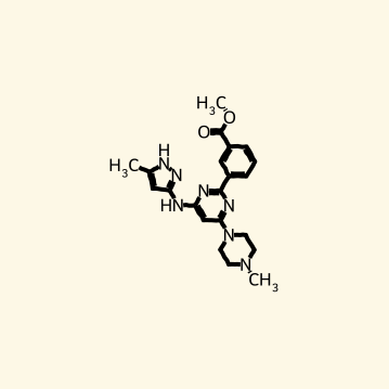 COC(=O)c1cccc(-c2nc(Nc3cc(C)[nH]n3)cc(N3CCN(C)CC3)n2)c1